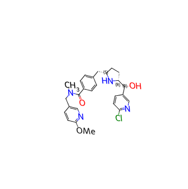 COc1ccc(CN(C)C(=O)c2ccc(C[C@@H]3CC[C@H]([C@H](O)c4ccc(Cl)nc4)N3)cc2)cn1